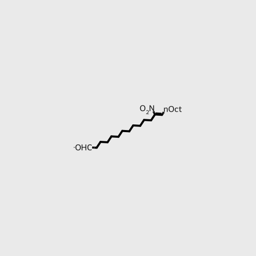 CCCCCCCC/C=C(/CCCCCCCCCCC[C]=O)[N+](=O)[O-]